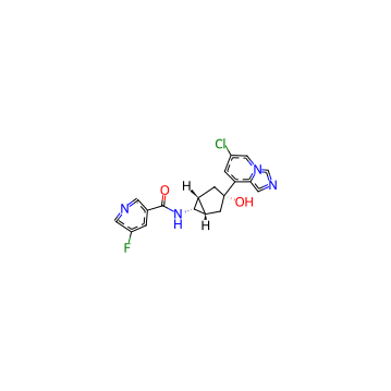 O=C(N[C@@H]1[C@@H]2C[C@@](O)(c3cc(Cl)cn4cncc34)C[C@@H]21)c1cncc(F)c1